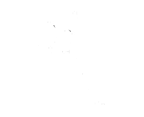 CCCCCCCCCCCCCCCCCCO[C@@H]1[C@@H](O)CO[C@@H]1[C@]1(CO)CCO1